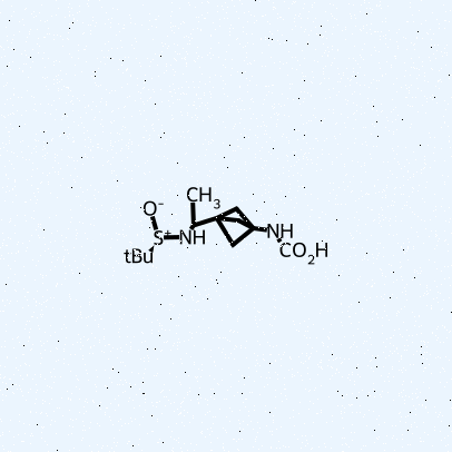 CC(N[S@+]([O-])C(C)(C)C)C12CC(NC(=O)O)(C1)C2